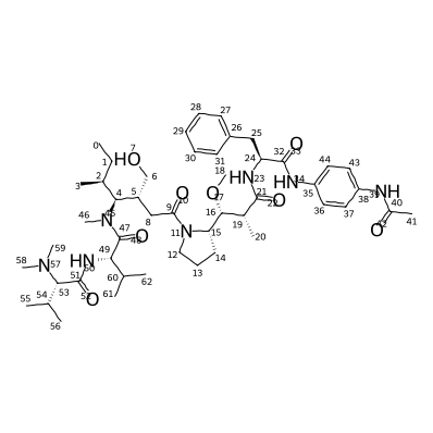 CC[C@H](C)[C@@H]([C@H](CO)CC(=O)N1CCC[C@H]1[C@H](OC)[C@@H](C)C(=O)N[C@@H](Cc1ccccc1)C(=O)Nc1ccc(NC(C)=O)cc1)N(C)C(=O)[C@@H](NC(=O)[C@H](C(C)C)N(C)C)C(C)C